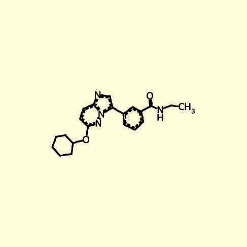 CCNC(=O)c1cccc(-c2cnc3ccc(OC4CCCCC4)nn23)c1